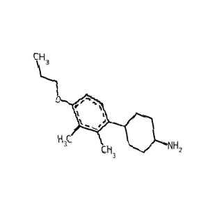 CCCOc1ccc(C2CCC(N)CC2)c(C)c1C